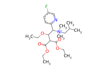 CCOC(=O)C(C(=O)OCC)C(OCC)C(c1ccc(F)cn1)[N+](C)(C)CC(C)C